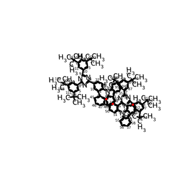 CC(C)(C)c1cc(-c2nc(-c3cc(C(C)(C)C)cc(C(C)(C)C)c3)nc(-c3ccc(-n4c5ccccc5c5ccccc54)c(-c4cccc(-c5ccc(-n6c7ccccc7c7ccccc76)c(-c6nc(-c7cc(C(C)(C)C)cc(C(C)(C)C)c7)nc(-c7cc(C(C)(C)C)cc(C(C)(C)C)c7)n6)c5)c4)c3)n2)cc(C(C)(C)C)c1